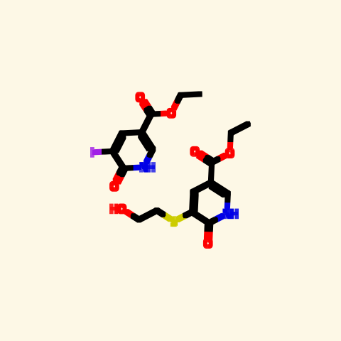 CCOC(=O)c1c[nH]c(=O)c(I)c1.CCOC(=O)c1c[nH]c(=O)c(SCCO)c1